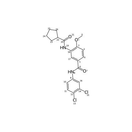 COc1ccc(C(=O)Nc2ccc(Cl)c(Cl)c2)cc1NC(=O)C1CCCC1